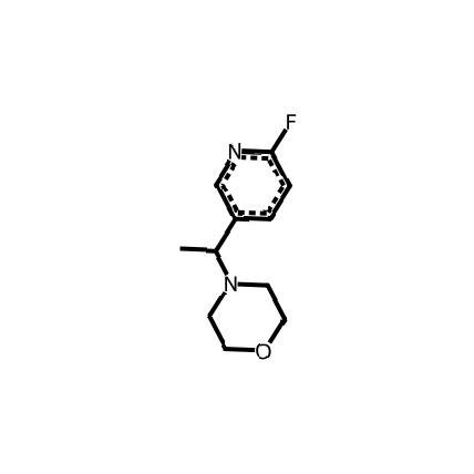 CC(c1ccc(F)nc1)N1CCOCC1